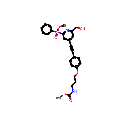 CCOP(=O)(c1ccccc1)c1cc(C#Cc2ccc(OCCCNC(=O)OC(C)(C)C)cc2)cc(CO)n1